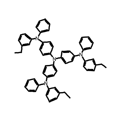 CCc1cccc(N(c2ccccc2)c2ccc(N(c3ccc(N(c4ccccc4)c4cccc(CC)c4)cc3)c3ccc(N(c4ccccc4)c4cccc(CC)c4)cc3)cc2)c1